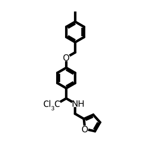 Cc1ccc(COc2ccc(C(NCc3ccco3)C(Cl)(Cl)Cl)cc2)cc1